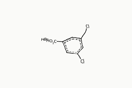 Br.O=C(O)c1cc(Cl)cc(Cl)c1